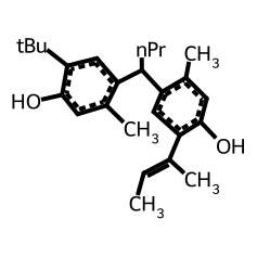 C/C=C(\C)c1cc(C(CCC)c2cc(C(C)(C)C)c(O)cc2C)c(C)cc1O